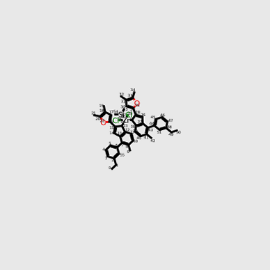 CCc1cccc(-c2c(C)ccc3c2C=C(c2cc(C)c(C)o2)[CH]3[Zr]([Cl])([Cl])([CH]2C(c3cc(C)c(C)o3)=Cc3c2ccc(C)c3-c2cccc(CC)c2)=[Si](C)C)c1